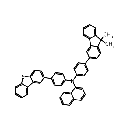 CC1(C)c2ccccc2-c2cc(-c3ccc(N(c4ccc(-c5ccc6sc7ccccc7c6c5)cc4)c4cccc5ccccc45)cc3)ccc21